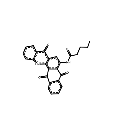 CCCCC(=O)Nc1cc2c(=O)c3ccccc3[nH]c2c2c1C(=O)c1ccccc1C2=O